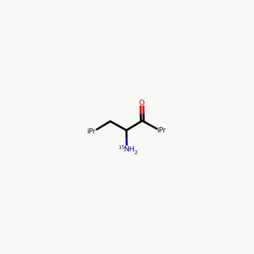 CC(C)CC([15NH2])C(=O)C(C)C